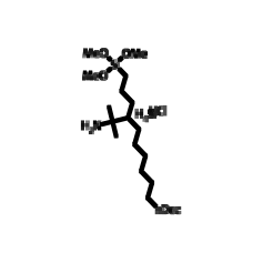 CCCCCCCCCCCCCCCCC(CCC[Si](OC)(OC)OC)C(C)(C)N.Cl.[SiH4]